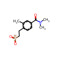 Cc1cc(C(=O)N(C)C)ccc1CC[SH](=O)=O